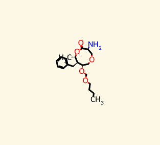 CCCCOCO[C@H]1COC[C@H](N)C(=O)O[C@@H](C)[C@@H]1Cc1ccccc1